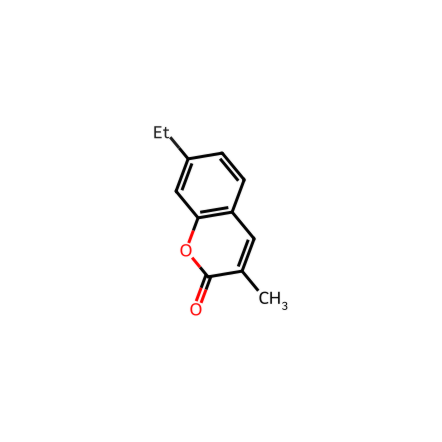 CCc1ccc2cc(C)c(=O)oc2c1